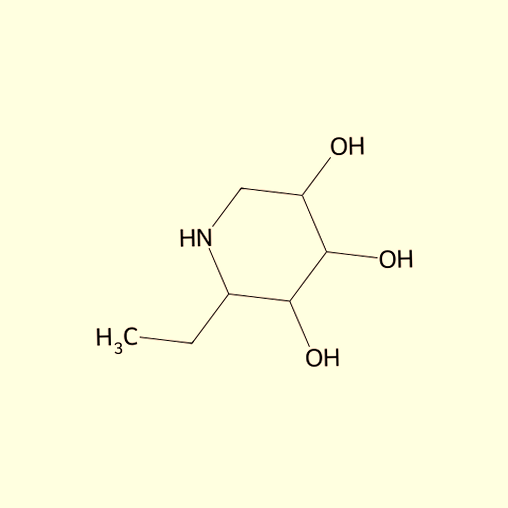 CCC1NCC(O)C(O)C1O